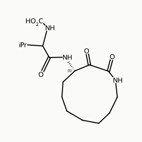 CC(C)C(NC(=O)O)C(=O)N[C@H]1CCCCCCCNC(=O)C1=O